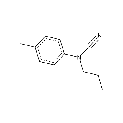 CCCN(C#N)c1ccc(C)cc1